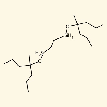 CCCC(C)(CCC)O[SiH2]CC[SiH2]OC(C)(CCC)CCC